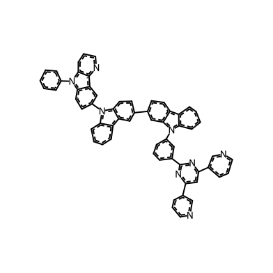 c1ccc(-n2c3ccc(-n4c5ccccc5c5cc(-c6ccc7c8ccccc8n(-c8cccc(-c9nc(-c%10cccnc%10)cc(-c%10cccnc%10)n9)c8)c7c6)ccc54)cc3c3ncccc32)cc1